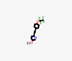 CCOc1ccc(C#Cc2ccc(OC(F)(F)C(F)F)cc2)nc1